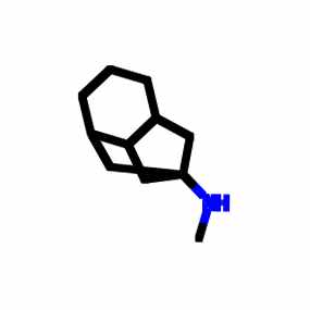 CNC12CC3CCCC(C1)C3C2